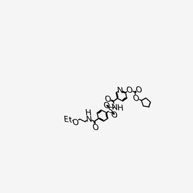 CCOCCNC(=O)c1ccc(S(=O)(=O)NC(=O)c2ccc(OC(=O)OC3CCCC3)nc2)cc1